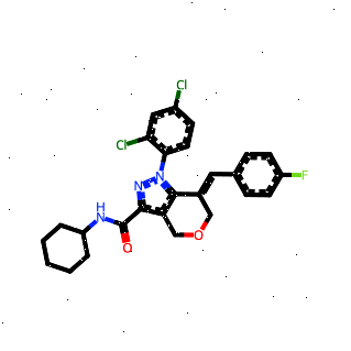 O=C(NC1CCCCC1)c1nn(-c2ccc(Cl)cc2Cl)c2c1COC/C2=C\c1ccc(F)cc1